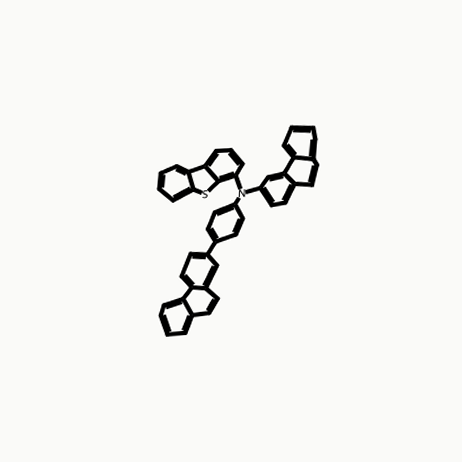 c1ccc2c(c1)ccc1cc(-c3ccc(N(c4ccc5ccc6ccccc6c5c4)c4cccc5c4sc4ccccc45)cc3)ccc12